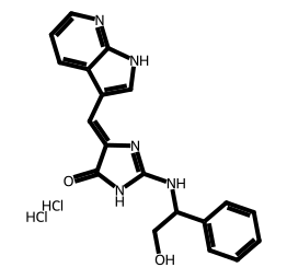 Cl.Cl.O=C1NC(NC(CO)c2ccccc2)=N/C1=C\c1c[nH]c2ncccc12